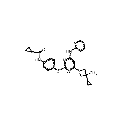 CC1(C2CC2)CN(c2cc(Nc3ccccn3)nc(Sc3ccc(NC(=O)C4CC4)cc3)n2)C1